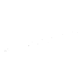 [CH]=CC=CC=CC=CC=CCCCCCCCCCCCCC